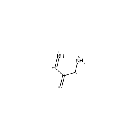 C=C(C=N)CN